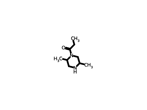 CCC(=O)N1CC(C)NCC1C